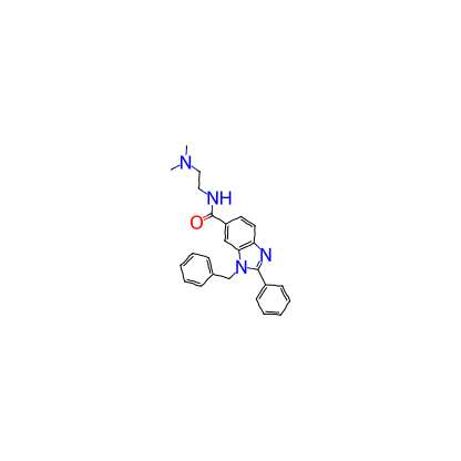 CN(C)CCNC(=O)c1ccc2nc(-c3ccccc3)n(Cc3ccccc3)c2c1